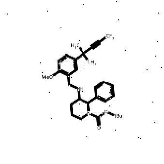 COc1ccc(C(C)(C)C#CC(F)(F)F)cc1CNC1CCCN(C(=O)OC(C)(C)C)C1c1ccccc1